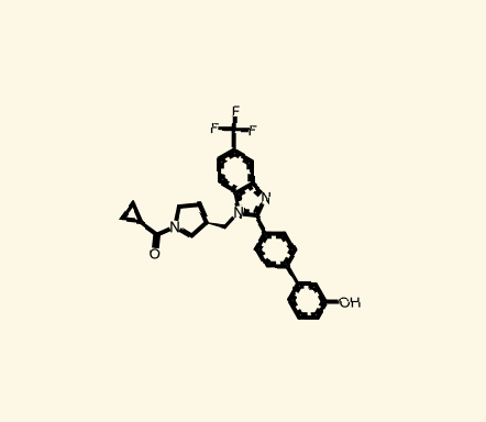 O=C(C1CC1)N1CC[C@@H](Cn2c(-c3ccc(-c4cccc(O)c4)cc3)nc3cc(C(F)(F)F)ccc32)C1